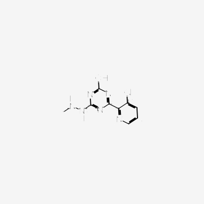 CNNc1nc(O)nc(-c2ncccc2Cl)n1